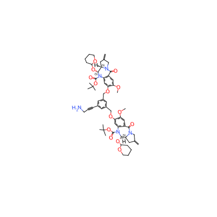 C=C1C[C@H]2[C@H](OC3CCCCO3)N(C(=O)OC(C)(C)C)c3cc(OCc4cc(C#CCN)cc(COc5cc6c(cc5OC)C(=O)N5CC(=C)C[C@H]5[C@H](OC5CCCCO5)N6C(=O)OC(C)(C)C)c4)c(OC)cc3C(=O)N2C1